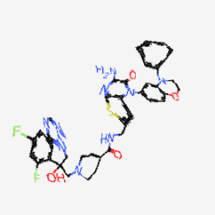 Nc1nc2sc(CNC(=O)C3CCN(CC(O)(Cn4cncn4)c4ccc(F)cc4F)CC3)cc2n(-c2ccc3c(c2)N(c2ccccc2)CCO3)c1=O